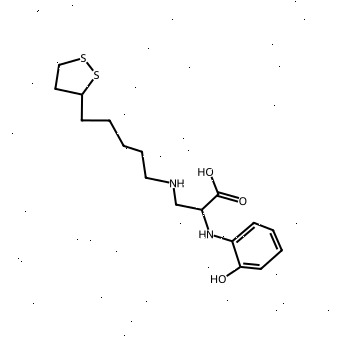 O=C(O)C(CNCCCCCC1CCSS1)Nc1ccccc1O